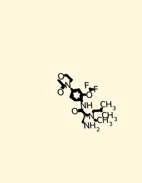 CCN(CC(C)C)[C@@H](CN)C(=O)Nc1ccc(N2CCOCC2=O)cc1OC(F)F